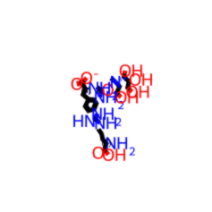 CC(N)=O.C[N+](C)(C)CCO.N=C(N)NCCC[C@H](N)C(=O)O.N[C@@H](Cc1ccccc1)C(=O)[O-].OCC(O)CO